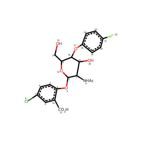 CC(=O)NC1C(Oc2ccc(Cl)cc2C(=O)O)OC(CO)C(Oc2ccc(F)cc2)C1O